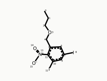 CCCOCc1cc(I)cc(I)c1[N+](=O)[O-]